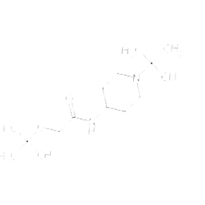 CC(C)(C)OCC(=O)NC1CCN(C(C)(C)C)CC1